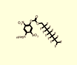 CCCCCCCc1cc([N+](=O)[O-])c(OC(=O)OCC(F)(F)C(F)(F)C(F)(F)C(F)(F)C(F)(F)C(F)F)cc1[N+](=O)[O-]